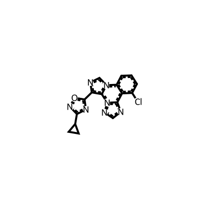 Clc1cccc2c1c1ncnn1c1c(-c3nc(C4CC4)no3)ncn21